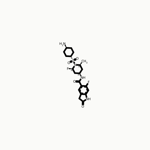 C[C@H]1C[C@@H](NC(=O)c2cc3c(cc2F)NC(=O)C3)C[C@@H](F)N1S(=O)(=O)[C@H]1CC[C@H](N)CC1